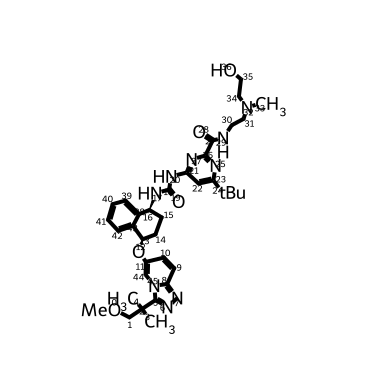 COCC(C)(C)c1nnc2ccc(O[C@@H]3CC[C@H](NC(=O)Nc4cc(C(C)(C)C)nc(C(=O)NCCN(C)CCO)n4)c4ccccc43)cn12